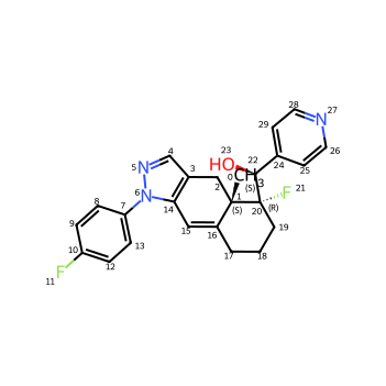 C[C@]12Cc3cnn(-c4ccc(F)cc4)c3C=C1CCC[C@]2(F)[C@@H](O)c1ccncc1